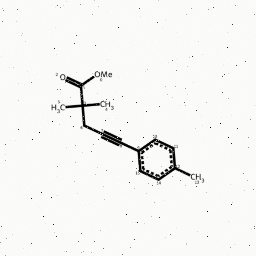 COC(=O)C(C)(C)CC#Cc1ccc(C)cc1